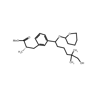 COC(=O)[C@@H](C)Cc1cccc(C(CCCC(C)(C)CO)OC2CCCCO2)c1